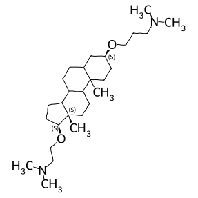 CN(C)CCCO[C@H]1CCC2(C)C(CCC3C2CC[C@@]2(C)C3CC[C@@H]2OCCN(C)C)C1